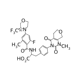 Cc1cc(N2CCOC[C@@H]2C(F)(F)F)cc(F)c1C(=O)NC(Cc1ccc(-n2c(=O)c3c(n(C)c2=O)COCC3)cc1)C(=O)O